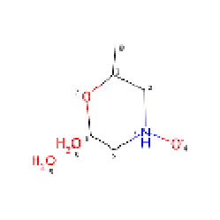 CC1C[NH+]([O-])CCO1.O.O